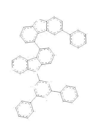 c1ccc(-c2ccc3oc4cccc(-c5cccc6c5c5ccncc5n6-c5nc(-c6ccccc6)nc(-c6ccccc6)n5)c4c3c2)cc1